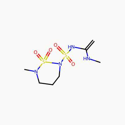 C=C(NC)NS(=O)(=O)N1CCCN(C)S1(=O)=O